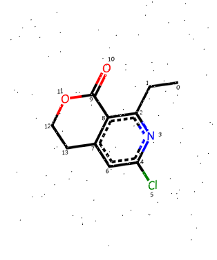 CCc1nc(Cl)cc2c1C(=O)OCC2